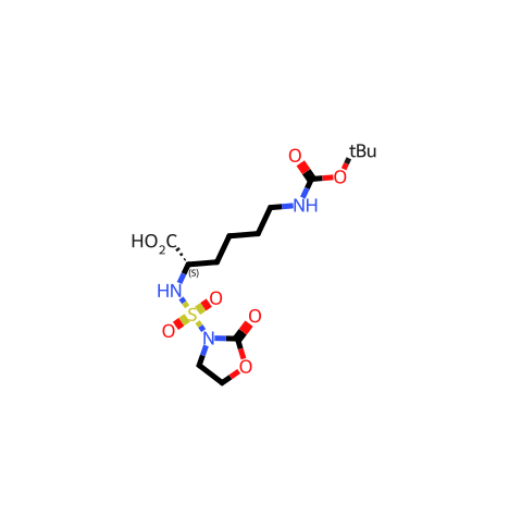 CC(C)(C)OC(=O)NCCCC[C@H](NS(=O)(=O)N1CCOC1=O)C(=O)O